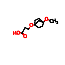 COC12CCC(OCCC(=O)O)(CC1)C2